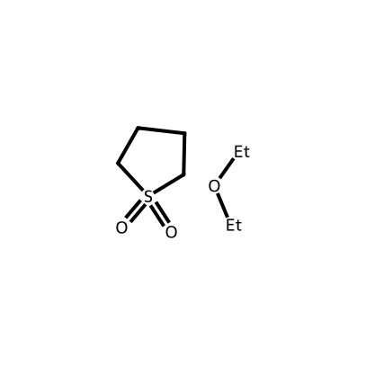 CCOCC.O=S1(=O)CCCC1